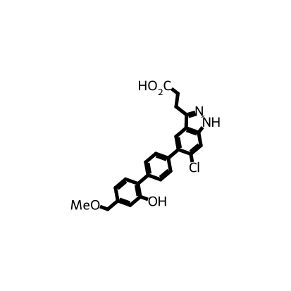 COCc1ccc(-c2ccc(-c3cc4c(CCC(=O)O)n[nH]c4cc3Cl)cc2)c(O)c1